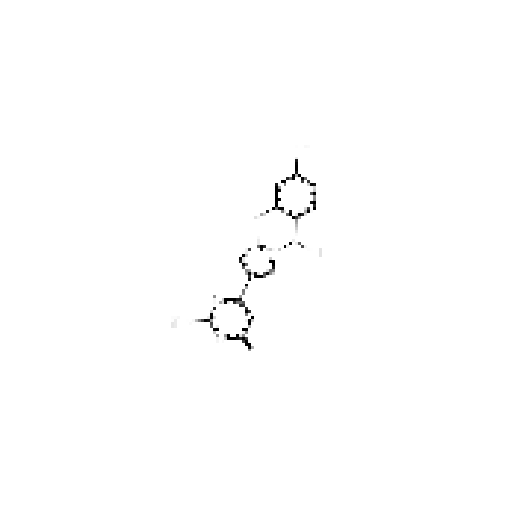 CC(C)c1nc(-c2cnn(C(C)c3ccc(C(F)(F)F)cc3F)c2)cc(=O)[nH]1